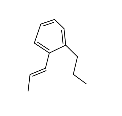 CC=Cc1ccccc1CCC